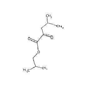 CC(C)COC(=O)C(=O)CC(C)C